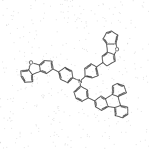 C1=c2oc3ccccc3c2=CC(c2ccc(N(c3ccc(-c4ccc5oc6ccccc6c5c4)cc3)c3cccc(-c4ccc5c6ccccc6c6ccccc6c5c4)c3)cc2)C1